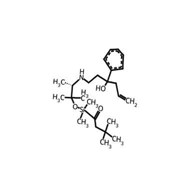 C=CCC(O)(CCN[C@@H](C)C(C)(C)O[Si](C)(C)C(=O)CC(C)(C)C)c1ccccc1